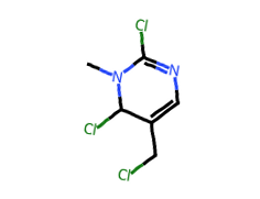 CN1C(Cl)=NC=C(CCl)C1Cl